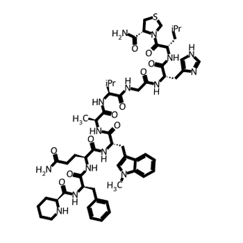 CC(C)C[C@H](NC(=O)[C@H](Cc1c[nH]cn1)NC(=O)CNC(=O)[C@@H](NC(=O)[C@H](C)NC(=O)[C@H](Cc1cn(C)c2ccccc12)NC(=O)[C@H](CCC(N)=O)NC(=O)[C@@H](Cc1ccccc1)NC(=O)[C@@H]1CCCCN1)C(C)C)C(=O)N1CSC[C@H]1C(N)=O